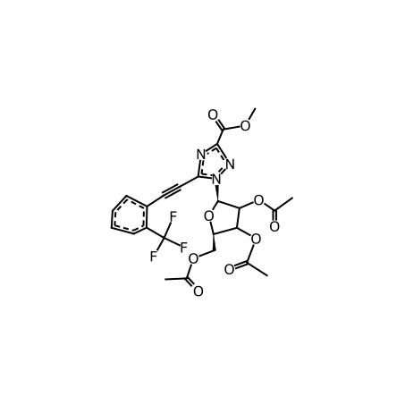 COC(=O)c1nc(C#Cc2ccccc2C(F)(F)F)n([C@@H]2O[C@H](COC(C)=O)C(OC(C)=O)C2OC(C)=O)n1